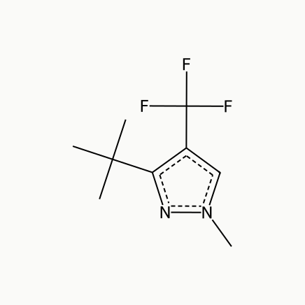 Cn1cc(C(F)(F)F)c(C(C)(C)C)n1